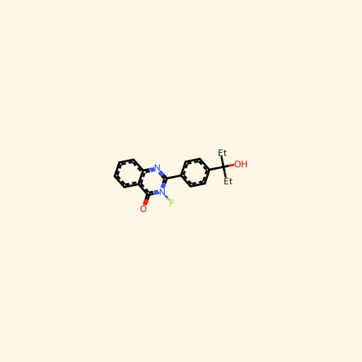 CCC(O)(CC)c1ccc(-c2nc3ccccc3c(=O)n2F)cc1